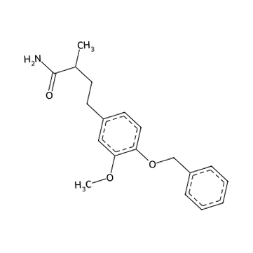 COc1cc(CCC(C)C(N)=O)ccc1OCc1ccccc1